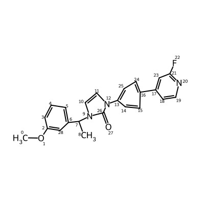 COc1cccc(C(C)n2ccn(-c3ccc(-c4ccnc(F)c4)cc3)c2=O)c1